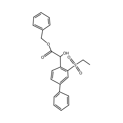 CCS(=O)(=O)c1cc(-c2ccccc2)ccc1C(O)C(=O)OCc1ccccc1